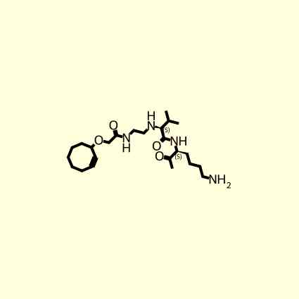 CC(=O)[C@H](CCCCN)NC(=O)[C@@H](NCCNC(=O)COC1C#CCCCCC1)C(C)C